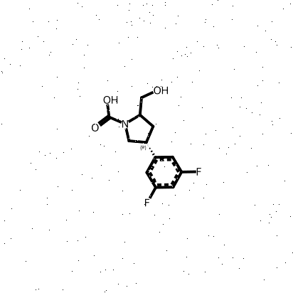 O=C(O)N1C[C@@H](c2cc(F)cc(F)c2)CC1CO